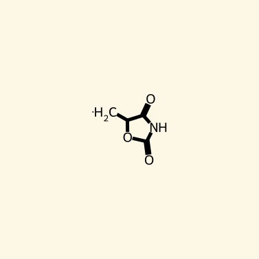 [CH2]C1OC(=O)NC1=O